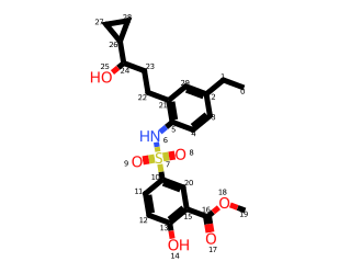 CCc1ccc(NS(=O)(=O)c2ccc(O)c(C(=O)OC)c2)c(CCC(O)C2CC2)c1